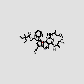 CCC(C)(CC)C(=O)OCCCNc1nc(NC(C)COC)nc(NC(C)COC)c1/N=N\c1nn(-c2ncccn2)cc1C#N